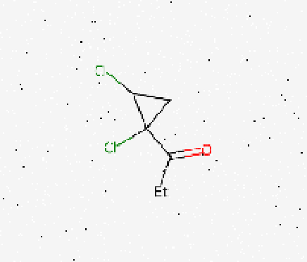 CCC(=O)C1(Cl)CC1Cl